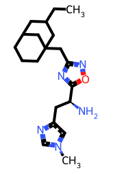 CCC1CC2CCCC(Cc3noc([C@@H](N)Cc4cn(C)cn4)n3)(C1)C2